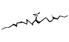 CCCCCCCCCC(CCCCCCCC)N(C)C